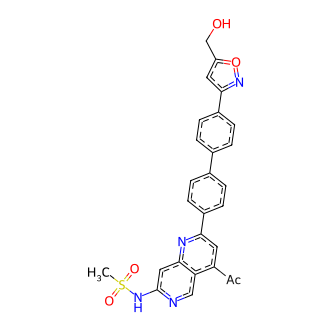 CC(=O)c1cc(-c2ccc(-c3ccc(-c4cc(CO)on4)cc3)cc2)nc2cc(NS(C)(=O)=O)ncc12